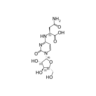 NC(=O)C[C@H](Nc1ccn([C@@H]2O[C@H](CO)[C@@H](O)[C@@H]2O)c(=O)n1)C(=O)O